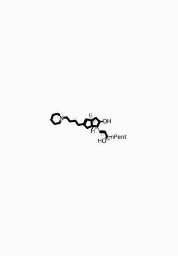 CCCCC[C@H](O)/C=C/[C@@H]1[C@H]2CC(CCCCN3CCCCC3)=C[C@H]2C[C@H]1O